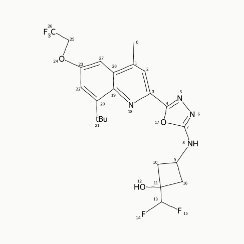 Cc1cc(-c2nnc(NC3CC(O)(C(F)F)C3)o2)nc2c(C(C)(C)C)cc(OCC(F)(F)F)cc12